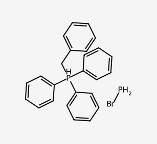 PBr.c1ccc(C[PH](c2ccccc2)(c2ccccc2)c2ccccc2)cc1